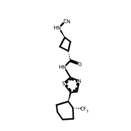 N#CN[C@H]1C[C@H](C(=O)Nc2ncc([C@@H]3CCCC[C@H]3C(F)(F)F)s2)C1